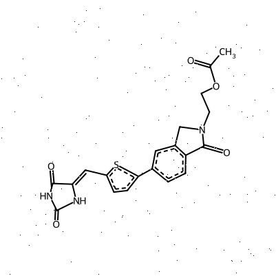 CC(=O)OCCN1Cc2cc(-c3ccc(/C=C4\NC(=O)NC4=O)s3)ccc2C1=O